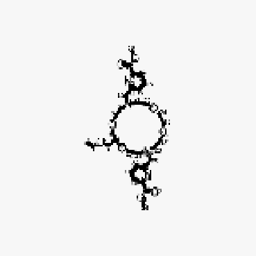 CCOC[C@@H]1COCCN(Cc2cccc(C(=O)OC)n2)CCOCCOCCN(Cc2cccc(C(=O)OC)n2)CCO1